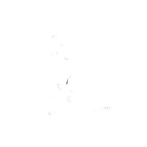 COCCCNc1cnccc1NC(=O)[C@@H]1CCCN(C(=O)OC(C)(C)C)C1